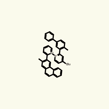 Cc1ccc(-c2ccccc2)cc1-c1cc(C(C)(C)C)cc[n+]1-[n+]1ccccc1-c1cc2c(ccc3ccccc32)cc1C